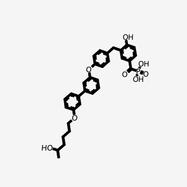 CC(O)CCCCOc1cccc(-c2cccc(Oc3ccc(Cc4cc(C(=O)P(=O)(O)O)ccc4O)cc3)c2)c1